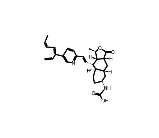 C=C/C(=C\C=C/C)c1ccc(/C=C/[C@H]2[C@@H]3CC[C@@H](NC(=O)O)C[C@H]3C[C@H]3C(=O)O[C@H](C)[C@@H]23)nc1